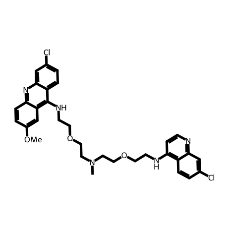 COc1ccc2nc3cc(Cl)ccc3c(NCCOCCN(C)CCOCCNc3ccnc4cc(Cl)ccc34)c2c1